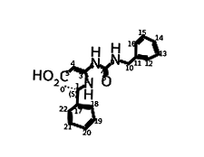 C[C@H](NC(=CC(=O)O)NC(=O)NCc1ccccc1)c1ccccc1